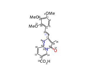 COc1ccc(/C=C/c2nc3ccc(C(=O)O)cn3c(=O)c2C)c(OC)c1OC